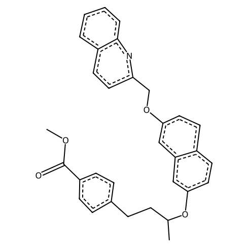 COC(=O)c1ccc(CCC(C)Oc2ccc3ccc(OCc4ccc5ccccc5n4)cc3c2)cc1